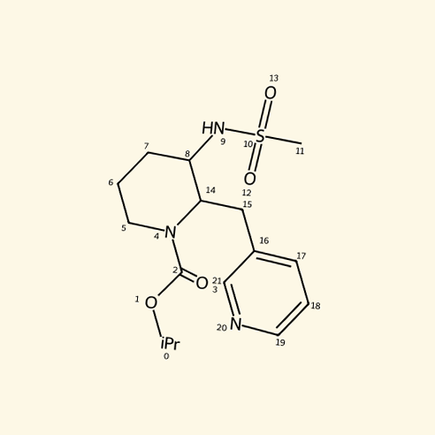 CC(C)OC(=O)N1CCCC(NS(C)(=O)=O)C1Cc1cccnc1